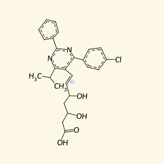 CC(C)c1nc(-c2ccccc2)nc(-c2ccc(Cl)cc2)c1/C=C/C(O)CC(O)CC(=O)O